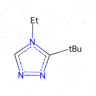 CCn1cnnc1C(C)(C)C